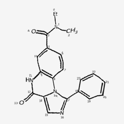 CCN(C)C(=O)c1ccc2c(c1)[nH]c(=O)c1cnc(-c3ccccc3)n12